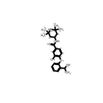 CC(O)c1ccccc1Oc1ccc(C(=O)NC2CC(C)(C)NC(C)(C)C2)cc1Cl